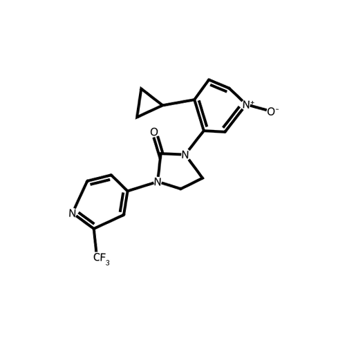 O=C1N(c2ccnc(C(F)(F)F)c2)CCN1c1c[n+]([O-])ccc1C1CC1